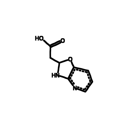 O=C(O)CC1Nc2ncccc2O1